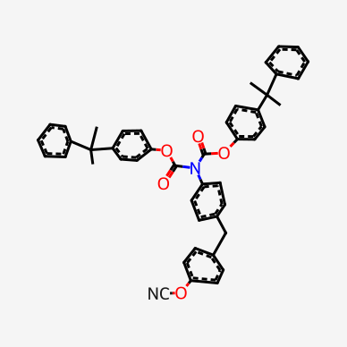 CC(C)(c1ccccc1)c1ccc(OC(=O)N(C(=O)Oc2ccc(C(C)(C)c3ccccc3)cc2)c2ccc(Cc3ccc(OC#N)cc3)cc2)cc1